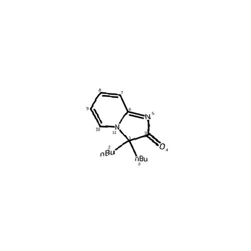 CCCCC1(CCCC)C(=O)N=C2C=CC=CN21